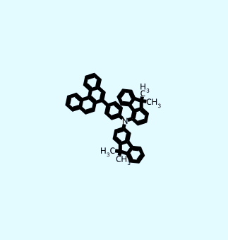 CC1(C)c2ccccc2-c2cc(N(c3ccc(-c4cc5ccccc5c5c4ccc4ccccc45)cc3)c3cccc4c3-c3ccccc3C4(C)C)ccc21